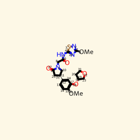 COc1nsc(NC(=O)CN2C[C@H](c3ccc(OC)c(O[C@@H]4CCOC4)c3)CC2=O)n1